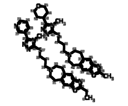 CCc1nc2cc3c(cc2o1)CCN(CCCSc1nnc(-c2cccnc2)n1C)CC3.Cc1nc2cc3c(cc2o1)CCN(CCCSc1nnc(C2CCOCC2)n1C)CC3